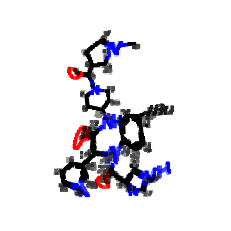 CN1CCC(C(=O)N2CCC(NC(=O)C(c3cccnc3)N(C(=O)c3c[nH]cn3)c3ccc(C(C)(C)C)cc3)CC2)C1